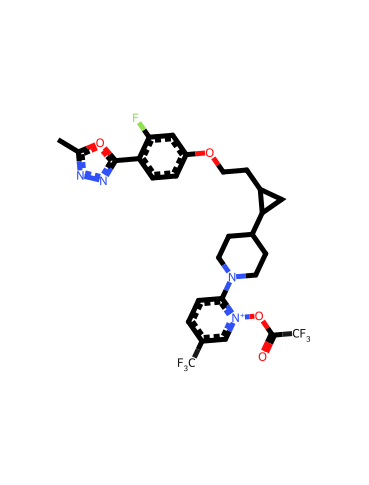 Cc1nnc(-c2ccc(OCCC3CC3C3CCN(c4ccc(C(F)(F)F)c[n+]4OC(=O)C(F)(F)F)CC3)cc2F)o1